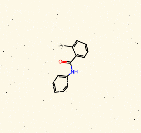 CC(C)c1ccccc1C(=O)Nc1ccccc1